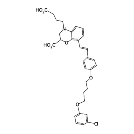 O=C(O)CCCN1CC(C(=O)O)Oc2c(/C=C/c3ccc(OCCCCOc4cccc(Cl)c4)cc3)cccc21